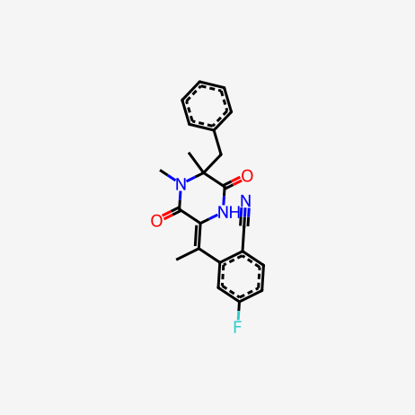 CC(=C1NC(=O)C(C)(Cc2ccccc2)N(C)C1=O)c1cc(F)ccc1C#N